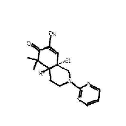 CC[C@@]12C=C(C#N)C(=O)C(C)(C)[C@H]1CCN(c1ncccn1)C2